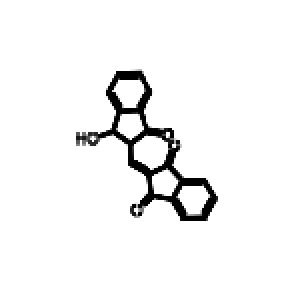 O=C1C(=CC2C(=O)c3ccccc3C2O)C(=O)c2ccccc21